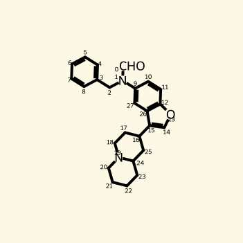 O=CN(Cc1ccccc1)c1ccc2occ(C3CCN4CCCCC4C3)c2c1